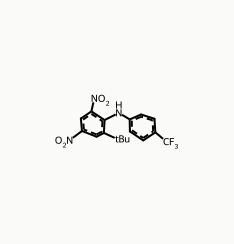 CC(C)(C)c1cc([N+](=O)[O-])cc([N+](=O)[O-])c1Nc1ccc(C(F)(F)F)cc1